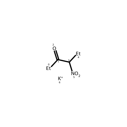 CCC(=O)C(CC)[N+](=O)[O-].[K+]